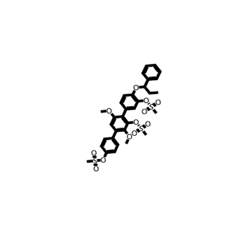 CCC(Oc1ccc(-c2c(OC)cc(-c3ccc(OS(C)(=O)=O)cc3)c(OC)c2OS(C)(=O)=O)cc1OS(C)(=O)=O)c1ccccc1